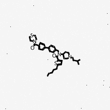 CCCCCc1ccc(C(=O)N(Cc2ccc(-c3ccc(C(=O)N4CCSCC4)cc3)cc2)C2CCN(CCC(C)C)CC2)s1